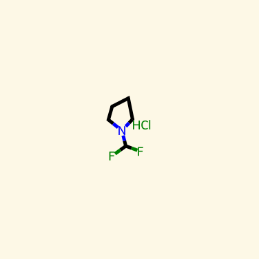 Cl.FC(F)N1CCCC1